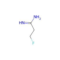 N=C(N)CCF